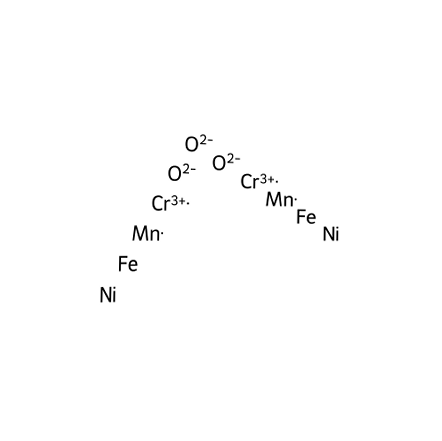 [Cr+3].[Cr+3].[Fe].[Fe].[Mn].[Mn].[Ni].[Ni].[O-2].[O-2].[O-2]